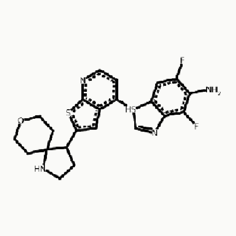 Nc1c(F)cc2c(c1F)N=C[SH]2c1ccnc2sc(C3CCNC34CCOCC4)cc12